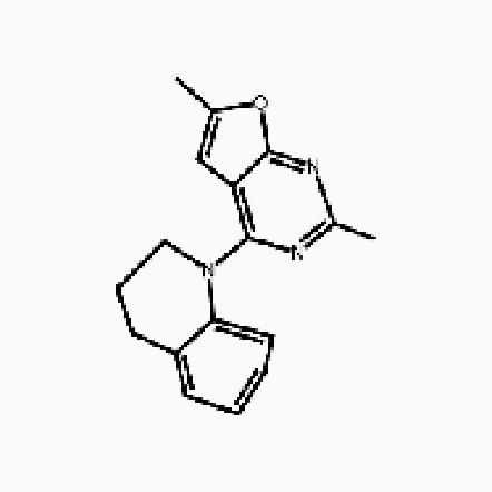 Cc1nc(N2CCCc3ccccc32)c2cc(C)oc2n1